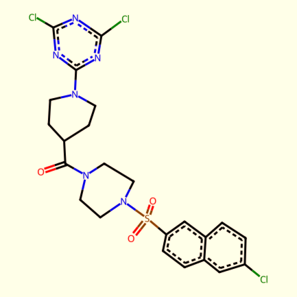 O=C(C1CCN(c2nc(Cl)nc(Cl)n2)CC1)N1CCN(S(=O)(=O)c2ccc3cc(Cl)ccc3c2)CC1